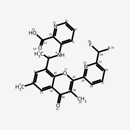 Cc1cc(C(C)Nc2cccnc2C(=O)O)c2oc(-c3cccc(C(F)F)n3)c(C)c(=O)c2c1